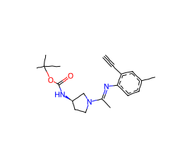 C#Cc1cc(C)ccc1/N=C(\C)N1CC[C@@H](NC(=O)OC(C)(C)C)C1